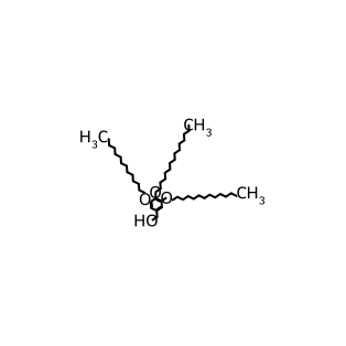 CCCCCCCCCCCCCCOc1cc(CO)cc(OCCCCCCCCCCCCCC)c1OCCCCCCCCCCCCCC